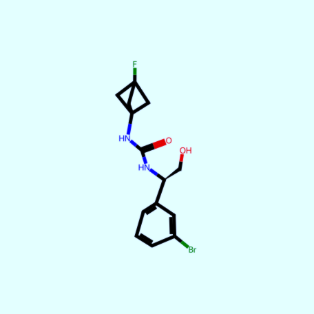 O=C(N[C@@H](CO)c1cccc(Br)c1)NC12CC(F)(C1)C2